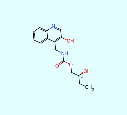 CC[C@H](O)COC(=O)NCc1c(O)cnc2ccccc12